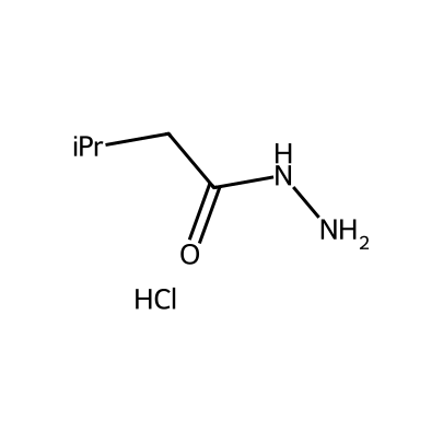 CC(C)CC(=O)NN.Cl